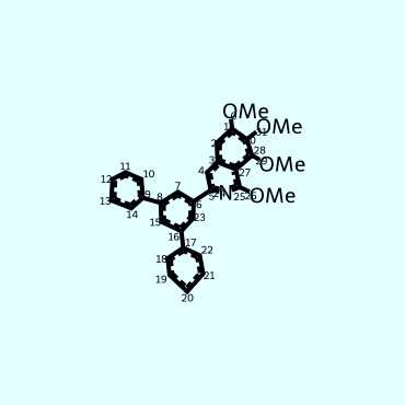 COc1cc2cc(-c3cc(-c4ccccc4)cc(-c4ccccc4)c3)nc(OC)c2c(OC)c1OC